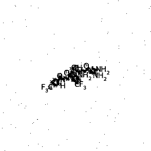 N[C@@H]1CN(C(=O)CC[C@H](N)C(=O)N[C@@H](CO)C(=O)N(CCNC(=O)c2ccc(C(F)(F)F)cc2)c2cccc(C(F)(F)F)c2)C[C@@H]1N